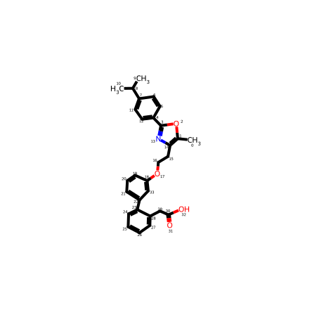 Cc1oc(-c2ccc(C(C)C)cc2)nc1CCOc1cccc(-c2ccccc2CC(=O)O)c1